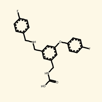 O=C(O)NCc1cc(CNCc2ccc(F)cc2)cc(Oc2ccc(F)cc2)c1